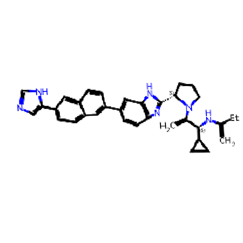 C=C(CC)N[C@H](C(=C)N1CCC[C@H]1c1nc2ccc(-c3ccc4cc(-c5cnc[nH]5)ccc4c3)cc2[nH]1)C1CC1